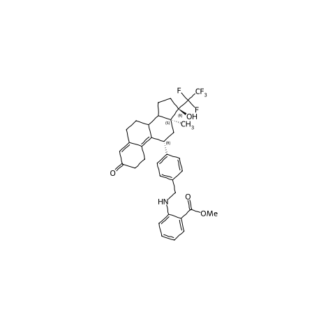 COC(=O)c1ccccc1NCc1ccc([C@H]2C[C@@]3(C)C(CC[C@]3(O)C(F)(F)C(F)(F)F)C3CCC4=CC(=O)CCC4=C32)cc1